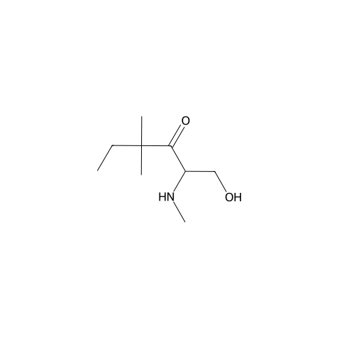 CCC(C)(C)C(=O)C(CO)NC